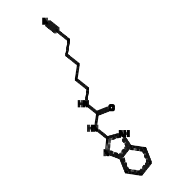 N#CCCCCCNC(=O)Nc1nc2ccccc2[nH]1